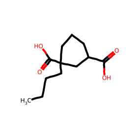 CCCCC1(C(=O)O)CCCC(C(=O)O)C1